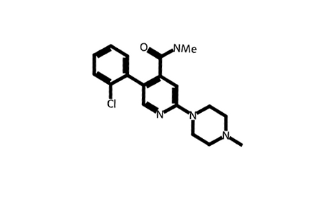 CNC(=O)c1cc(N2CCN(C)CC2)ncc1-c1ccccc1Cl